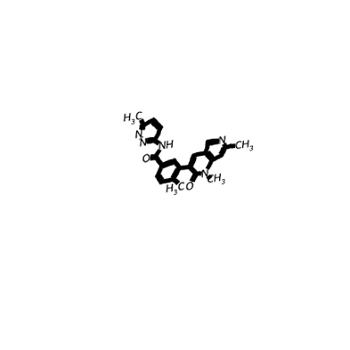 Cc1cc2c(cn1)cc(-c1cc(C(=O)Nc3ccc(C)nn3)ccc1C)c(=O)n2C